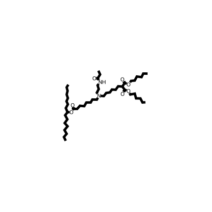 CCCCCCCCC(CCCCCCCC)OC(=O)CCCCCCCN(CCCCCCC(C(=O)OCCCCCC)C(=O)OCCCCCC)CCCNC(=O)CC